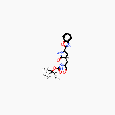 CC(C)(C)OC(=O)NC(C=O)C[C@@H]1CC(c2nc3ccccc3o2)NC1=O